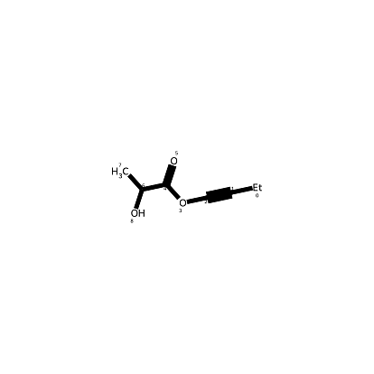 CCC#COC(=O)C(C)O